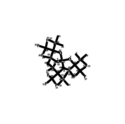 C[Si](C)(C)C(OP(=O)(OC(C(F)(F)F)([Si](C)(C)C)[Si](C)(C)C)OC(C(F)(F)F)([Si](C)(C)C)[Si](C)(C)C)(C(F)(F)F)[Si](C)(C)C